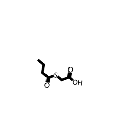 CCCC(=O)SCC(=O)O